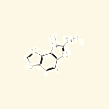 Nc1nc2ccc3scnc3c2[nH]1